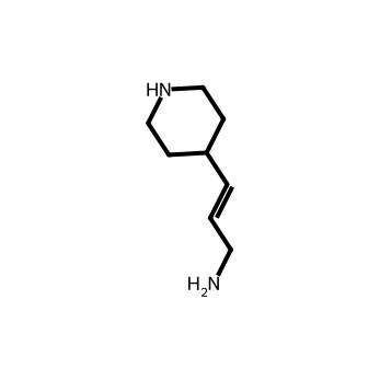 NCC=CC1CCNCC1